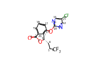 O=C1O[C@@H](CCC(F)(F)F)c2c(Oc3ncc(Cl)cn3)cccc21